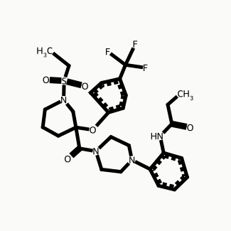 CCC(=O)Nc1ccccc1N1CCN(C(=O)C2(Oc3ccc(C(F)(F)F)cc3)CCCN(S(=O)(=O)CC)C2)CC1